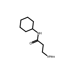 CCCCCCCCC(=O)NC1CCCCC1